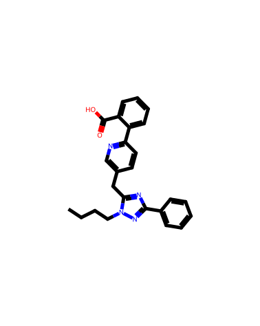 CCCCn1nc(-c2ccccc2)nc1Cc1ccc(-c2ccccc2C(=O)O)nc1